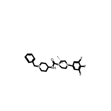 C[C@@H]1CN(c2cc(F)c(F)c(F)c2)CCN1C(=O)NC1CCN(Cc2ccccc2)CC1